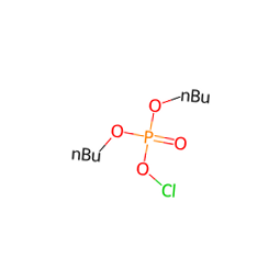 CCCCOP(=O)(OCl)OCCCC